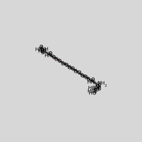 Nc1nc(=O)n([C@@H]2O[C@H](CO)[C@H](O)C2O)cc1CCCNC(=O)CCOCCOCCOCCOCCOCCOCCOCCOCCOCCOCCOCCOCCNC(=O)CCCC[C@@H]1SC[C@@H]2NC(=O)N[C@@H]21